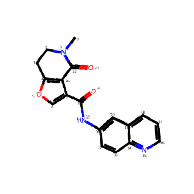 CN1CCc2occ(C(=O)Nc3ccc4ncccc4c3)c2C1=O